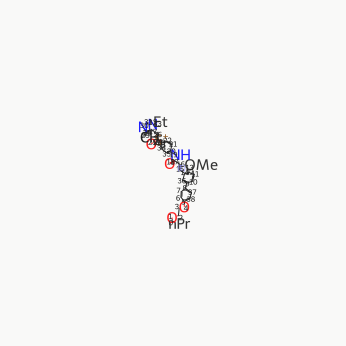 CCCOCCOc1ccc(-c2ccc(OC)c(/C=C/C(=O)Nc3ccc([S@@+]([O-])Cc4c(C)ncn4CC)cc3)c2)cc1